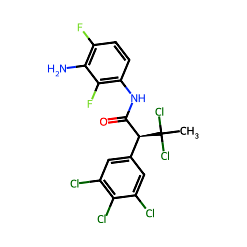 CC(Cl)(Cl)[C@H](C(=O)Nc1ccc(F)c(N)c1F)c1cc(Cl)c(Cl)c(Cl)c1